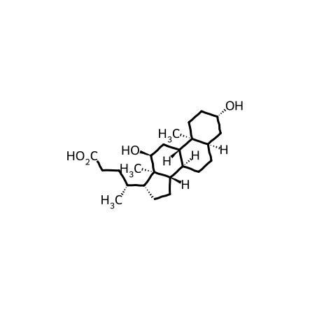 C[C@H](CCC(=O)O)[C@H]1CC[C@H]2[C@@H]3CC[C@@H]4C[C@@H](O)CC[C@]4(C)[C@H]3C[C@H](O)[C@]12C